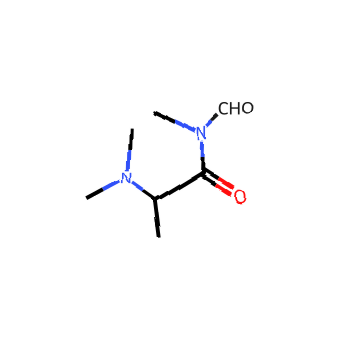 CC(C(=O)N(C)C=O)N(C)C